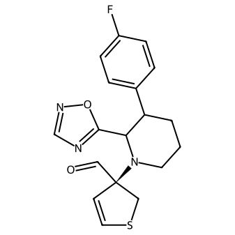 O=C[C@@]1(N2CCCC(c3ccc(F)cc3)C2c2ncno2)C=CSC1